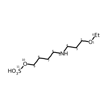 CCOCCCNCCCCOS(=O)(=O)O